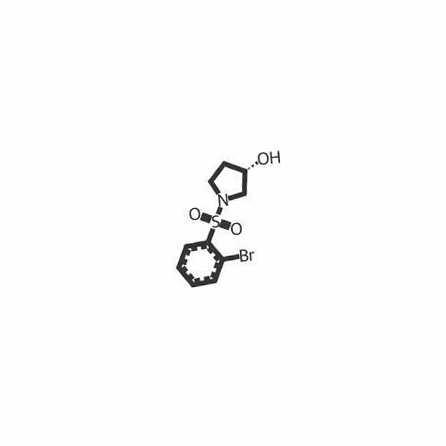 O=S(=O)(c1ccccc1Br)N1CC[C@H](O)C1